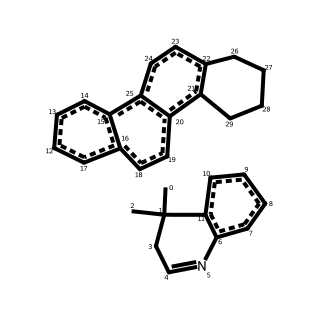 CC1(C)CC=Nc2ccccc21.c1ccc2c(c1)ccc1c3c(ccc12)CCCC3